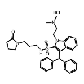 CN(C)CCn1c(S(=O)(=O)NCCCN2CCCC2=O)c(C(c2ccccc2)c2ccccc2)c2ccccc21.Cl